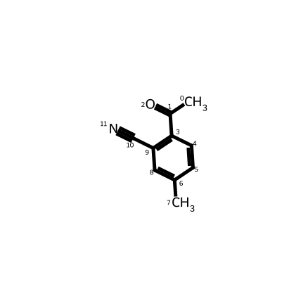 CC(=O)c1ccc(C)cc1C#N